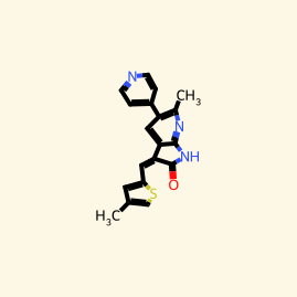 Cc1csc(C=C2C(=O)Nc3nc(C)c(-c4ccncc4)cc32)c1